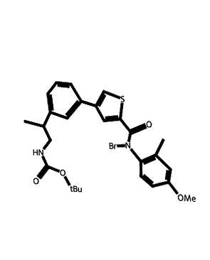 COc1ccc(N(Br)C(=O)c2cc(-c3cccc(C(C)CNC(=O)OC(C)(C)C)c3)cs2)c(C)c1